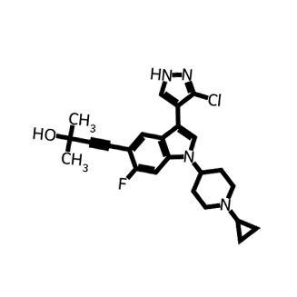 CC(C)(O)C#Cc1cc2c(-c3c[nH]nc3Cl)cn(C3CCN(C4CC4)CC3)c2cc1F